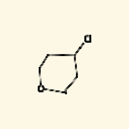 ClC1C[C]OCC1